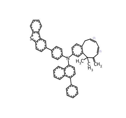 C=C1/C=C\C=C/Cc2ccc(N(c3ccc(-c4ccc5sc6ccccc6c5c4)cc3)c3ccc(-c4ccccc4)c4ccccc34)cc2C1(C)C